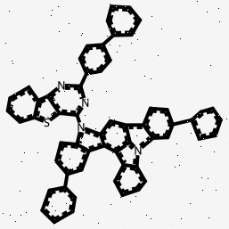 c1ccc(-c2ccc(-c3nc(-n4c5ccc(-c6ccccc6)cc5c5c6c7ccccc7n7c8cc(-c9ccccc9)ccc8c(cc54)c67)c4sc5ccccc5c4n3)cc2)cc1